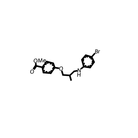 COC(=O)c1ccc(OCC(C)CNc2ccc(Br)cc2)cc1